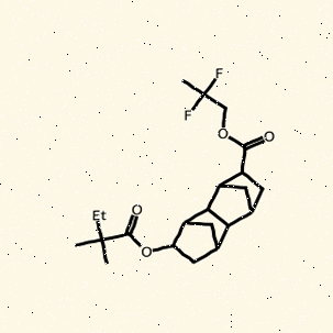 CCC(C)(C)C(=O)OC1CC2CC1C1C3CC(CC3C(=O)OCC(C)(F)F)C21